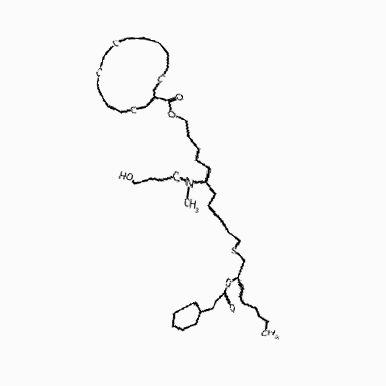 CCCCCCC(CSCCCCCC(CCCCCOC(=O)C1CCCCCCCCCCCCCC1)N(C)CCCCO)OC(=O)CCC1CCCCC1